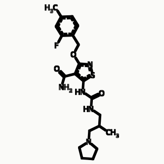 Cc1ccc(COc2nsc(NC(=O)NCC(C)CN3CCCC3)c2C(N)=O)c(F)c1